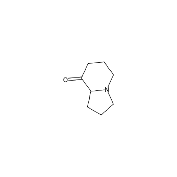 O=C1CCCN2CCCC12